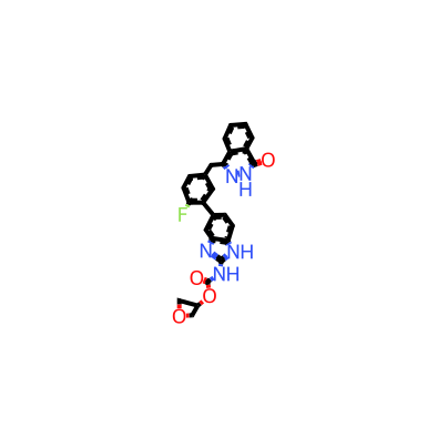 O=C(Nc1nc2cc(-c3cc(Cc4n[nH]c(=O)c5ccccc45)ccc3F)ccc2[nH]1)OC1COC1